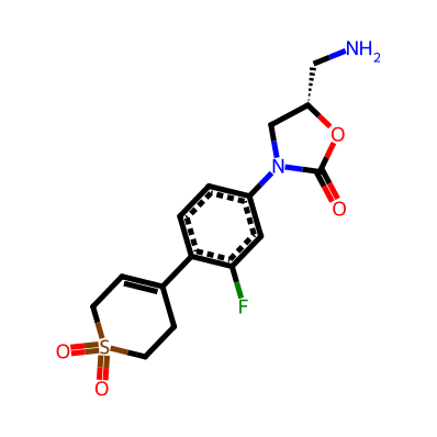 NC[C@H]1CN(c2ccc(C3=CCS(=O)(=O)CC3)c(F)c2)C(=O)O1